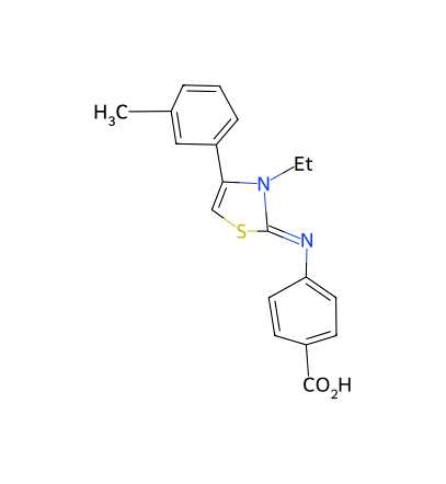 CCn1c(-c2cccc(C)c2)cs/c1=N\c1ccc(C(=O)O)cc1